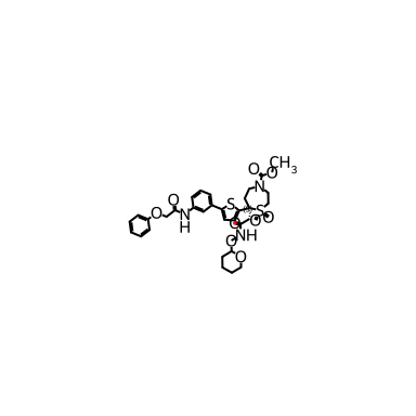 COC(=O)N1CC[C@](CC(=O)NOC2CCCCO2)(c2ccc(-c3cccc(NC(=O)COc4ccccc4)c3)s2)S(=O)(=O)CC1